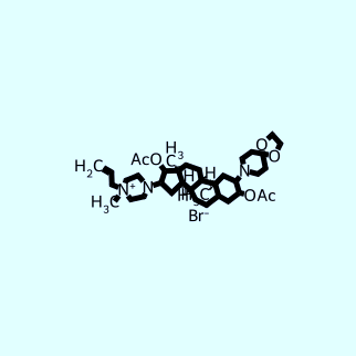 C=CC[N+]1(C)CCN(C2C[C@H]3[C@@H]4CCC5CC(OC(C)=O)C(N6CCC7(CC6)OCCO7)C[C@]5(C)[C@@H]4CC[C@]3(C)C2OC(C)=O)CC1.[Br-]